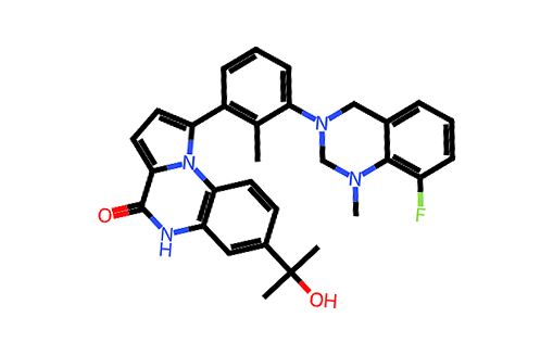 Cc1c(-c2ccc3c(=O)[nH]c4cc(C(C)(C)O)ccc4n23)cccc1N1Cc2cccc(F)c2N(C)C1